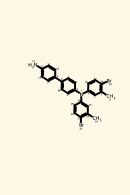 Cc1cc(N(c2ccc(-c3ccc(N)cc3)cc2)c2ccc(Br)c(C)c2)ccc1Br